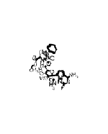 CCOC(=O)[C@H](C)NP(=O)(OC[C@H]1O[C@@](C#N)(c2ccc3c(N)nc(F)nn23)[C@](C)(O)[C@@H]1O)Oc1ccccc1